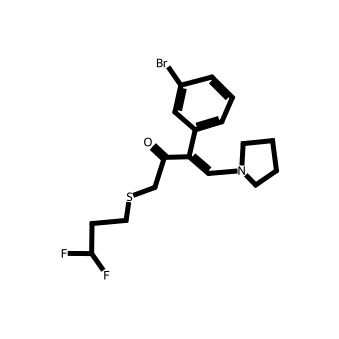 O=C(CSCCC(F)F)/C(=C/N1CCCC1)c1cccc(Br)c1